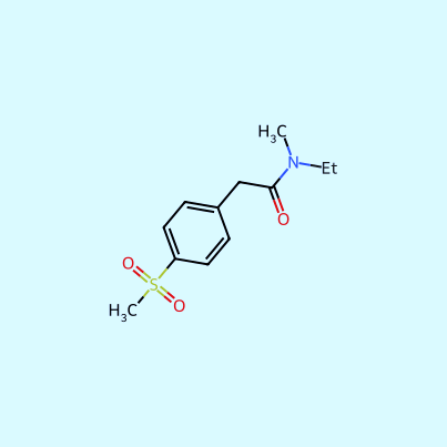 CCN(C)C(=O)Cc1ccc(S(C)(=O)=O)cc1